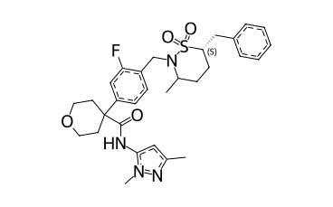 Cc1cc(NC(=O)C2(c3ccc(CN4C(C)CC[C@@H](Cc5ccccc5)S4(=O)=O)c(F)c3)CCOCC2)n(C)n1